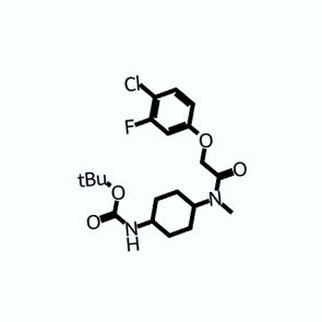 CN(C(=O)COc1ccc(Cl)c(F)c1)C1CCC(NC(=O)OC(C)(C)C)CC1